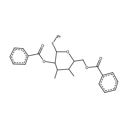 CC(C)SC1OC(COC(=O)c2ccccc2)C(C)C(C)C1OC(=O)c1ccccc1